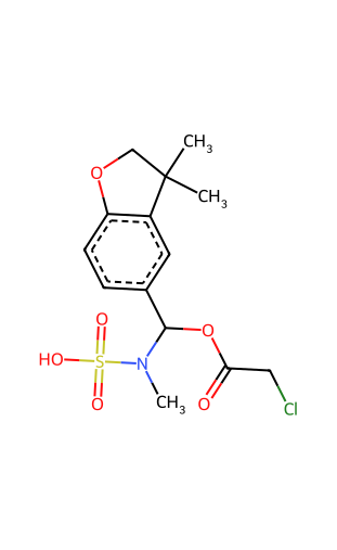 CN(C(OC(=O)CCl)c1ccc2c(c1)C(C)(C)CO2)S(=O)(=O)O